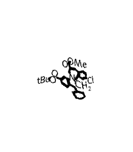 C=C1c2cc(Cl)ccc2C=C(C(=O)OC)CN1c1cc(C(=O)OC(C)(C)C)ccc1CC1CCCCC1